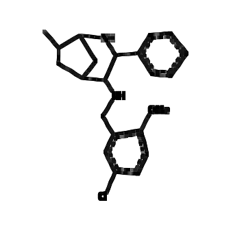 COc1ccc(Cl)cc1CNC1C2CC(C)C(C2)NC1c1ccccc1